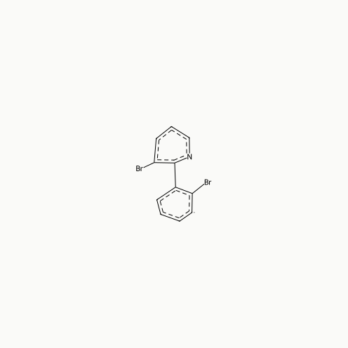 Brc1[c]cccc1-c1ncccc1Br